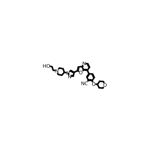 N#Cc1cc(-c2ccnc3cc(-c4cnn(C5CCN(CCO)CC5)c4)oc23)ccc1OC1CCOCC1